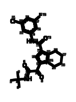 CC(C)(C)NC(=O)C(=O)c1cc(C(=O)Nc2cc(F)cc(Cl)c2)c2n1CCCC2